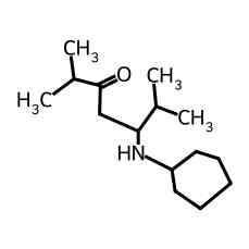 CC(C)C(=O)CC(NC1CCCCC1)C(C)C